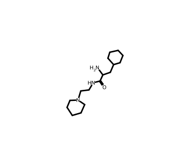 NC(CC1CCCCC1)C(=O)NCCN1CCCCC1